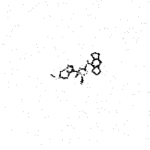 CO[C@H]1COc2c(S(=O)(=NC(=O)Nc3c4c(cc5c3CCC5)CCC4)NC#N)cnn2C1